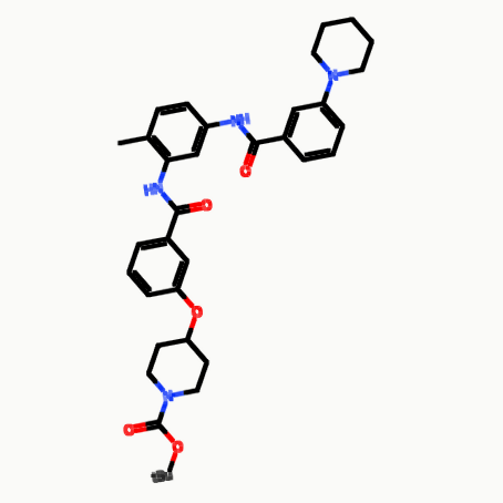 Cc1ccc(NC(=O)c2cccc(N3CCCCC3)c2)cc1NC(=O)c1cccc(OC2CCN(C(=O)OC(C)(C)C)CC2)c1